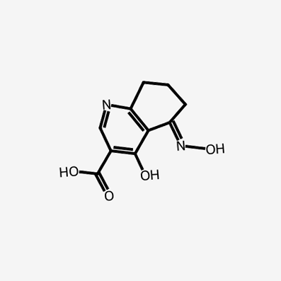 O=C(O)c1cnc2c(c1O)/C(=N/O)CCC2